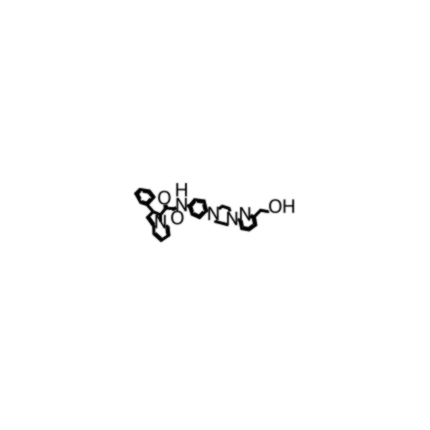 O=C(Nc1ccc(N2CCN(c3cccc(CCO)n3)CC2)cc1)C(=O)C1C(c2ccccc2)C=C2C=CC=CN21